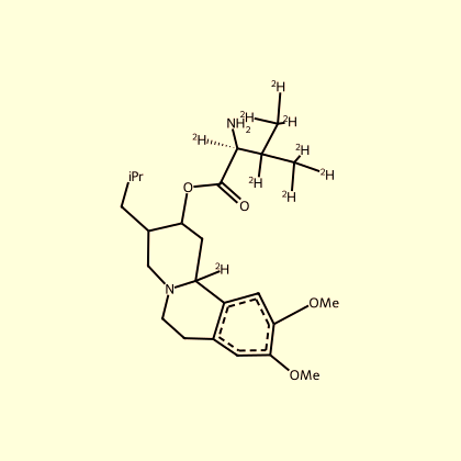 [2H]C12CC(OC(=O)[C@@]([2H])(N)C([2H])(C([2H])([2H])[2H])C([2H])([2H])[2H])C(CC(C)C)CN1CCc1cc(OC)c(OC)cc12